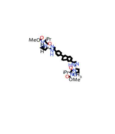 COC(=O)NC(C(=O)N1[C@H](c2ncc(-c3ccc(-c4ccc5cc(-c6cnc([C@@H]7CC[C@@H](C)N7C(=O)[C@@H](NC(=O)OC)C(C)C)[nH]6)ccc5c4)cc3)[nH]2)C[C@@H]2C[C@@H]21)C(C)C